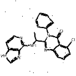 CC(Nc1nccc2[nH]cnc12)c1nc2cccc(Cl)c2c(=O)n1-c1ccccc1